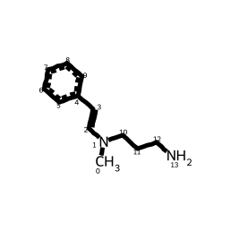 CN(C=Cc1ccccc1)CCCN